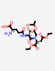 CCOC(=O)C[C@@H](C(=O)OCC)N(CC(=O)OC(C)C)C(=O)[C@H](CS)NC(=O)CC[C@H](N)C(=O)O